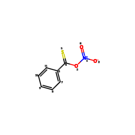 O=[N+]([O-])OC(=S)c1ccccc1